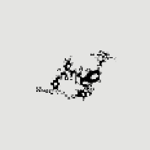 COc1ccc(CNC(=O)C(=O)[C@@H]2CC(F)(F)CN2C(=O)CNC(=O)c2ccnc3ccc(OCCC[N+](C)(C)CF)cc23)cc1OC.Cc1ccc(S(=O)(=O)[O-])cc1